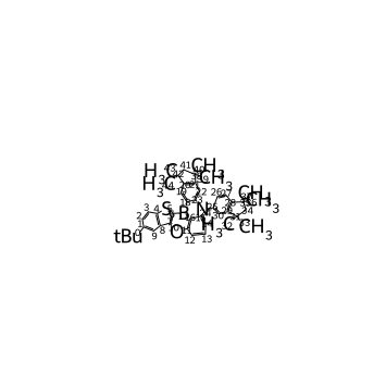 CC(C)(C)c1ccc2sc3c(c2c1)Oc1cccc2c1B3c1cc3c(cc1N2c1ccc2c(c1)C(C)(C)CC2(C)C)C(C)(C)CC3(C)C